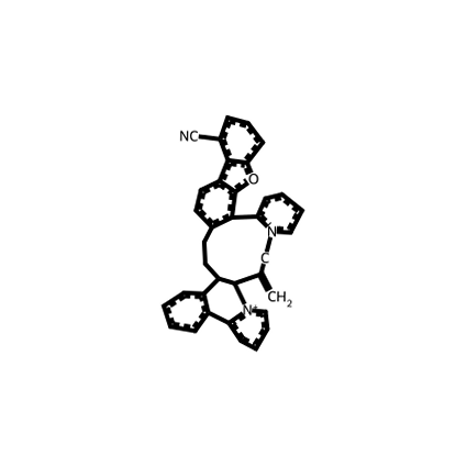 C=C1C[n+]2ccccc2-c2c(ccc3c2oc2cccc(C#N)c23)CCC2c3ccccc3-c3cccc[n+]3C12